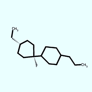 CCCC1CCC([C@]2(F)CC[C@@H](CC)CC2)CC1